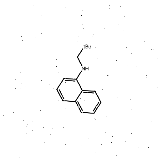 CC(C)(C)CNc1cccc2ccccc12